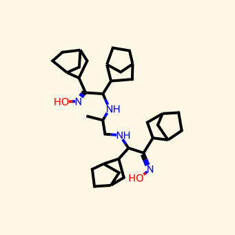 CC(CNC(C(=NO)C1CC2CCC1C2)C1CC2CCC1C2)NC(C(=NO)C1CC2CCC1C2)C1CC2CCC1C2